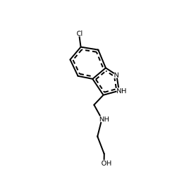 OCCNCc1[nH]nc2cc(Cl)ccc12